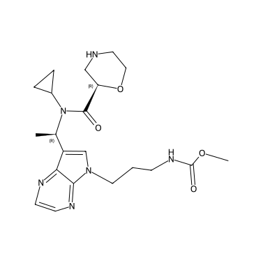 COC(=O)NCCCn1cc([C@@H](C)N(C(=O)[C@H]2CNCCO2)C2CC2)c2nccnc21